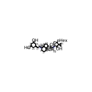 CCCCCCC(=O)C1([C@@H](O)/C=C/C(C)(C)[C@H]2CC[C@H]3/C(=C/C=C4C[C@@H](O)C[C@H](O)C4)CCC[C@]23C)CC1